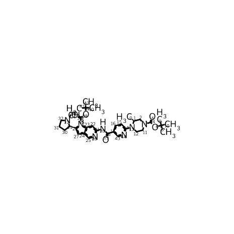 C[C@H]1CN(C(=O)OC(C)(C)C)CCN1c1ccc(C(=O)Nc2cc3c(cn2)cc([C@H]2CCCN2C)n3C(=O)OC(C)(C)C)cn1